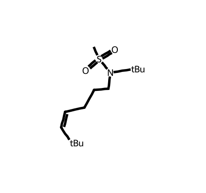 CC(C)(C)/C=C\CCCN(C(C)(C)C)S(C)(=O)=O